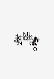 Cc1c(-c2cc3cc(NC(=O)OC4C5COCC4CN(CC(F)F)C5)ncc3c(N)c2F)cnc2c1NCCO2